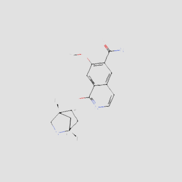 CC(C)Oc1cc2c(O[C@@H]3C[C@H]4C[C@@H]3CN4)nccc2cc1C(N)=O